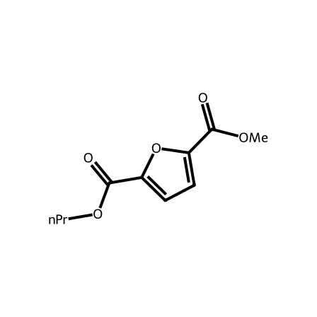 CCCOC(=O)c1ccc(C(=O)OC)o1